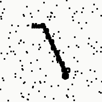 COCCOCCOCCOCCOCCOCCOCCOCCOC(=O)c1ccccc1